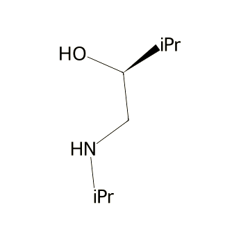 CC(C)NC[C@@H](O)C(C)C